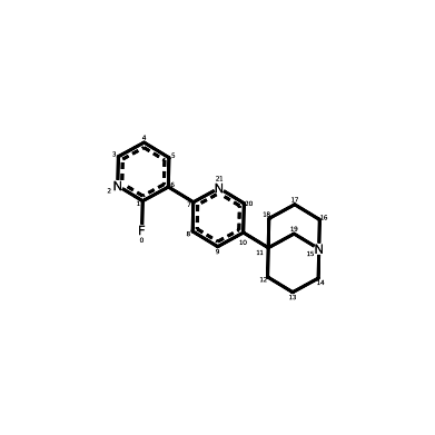 Fc1ncccc1-c1ccc(C23CCCN(CCC2)C3)cn1